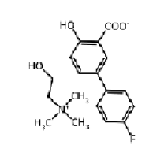 C[N+](C)(C)CCO.O=C([O-])c1cc(-c2ccc(F)cc2)ccc1O